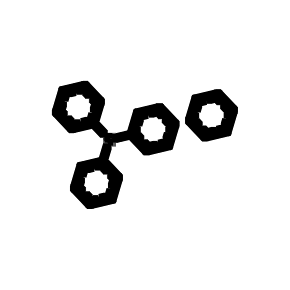 c1ccc([Si](c2ccccc2)c2ccccc2)cc1.c1ccccc1